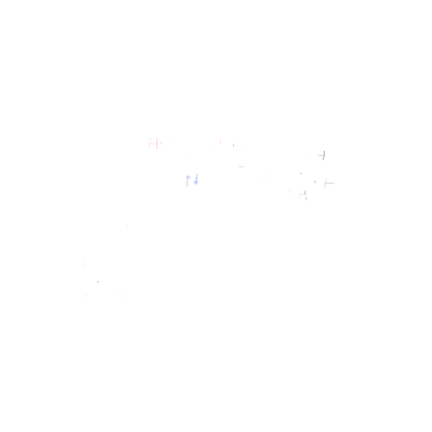 CC(C)(C)COC(=O)C1CCC(c2ccc(C(F)(F)F)cc2)=CN1C(=O)O